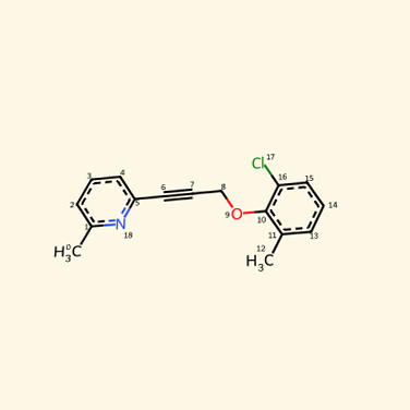 Cc1cccc(C#CCOc2c(C)cccc2Cl)n1